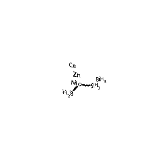 [BH2][Mo][SiH3].[BiH3].[Ce].[Zn]